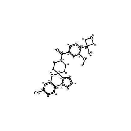 COc1cc(C(=O)N2CCC3(CC2)Oc2cc(Cl)ccc2-n2cccc23)ccc1C1(O)COC1